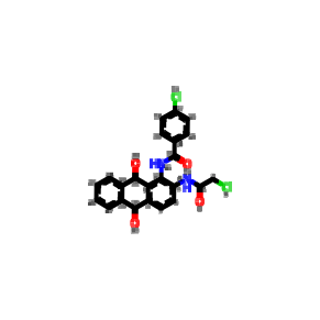 O=C(CCl)Nc1ccc2c(c1NC(=O)c1ccc(Cl)cc1)C(=O)c1ccccc1C2=O